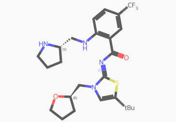 CC(C)(C)c1cn(C[C@H]2CCCO2)/c(=N/C(=O)c2cc(C(F)(F)F)ccc2NC[C@@H]2CCCN2)s1